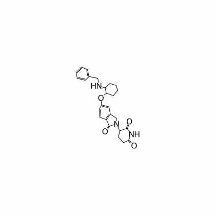 O=C1CCC(N2Cc3cc(OC4CCCCC4NCc4ccccc4)ccc3C2=O)C(=O)N1